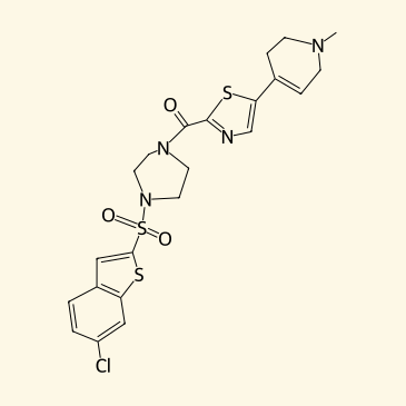 CN1CC=C(c2cnc(C(=O)N3CCN(S(=O)(=O)c4cc5ccc(Cl)cc5s4)CC3)s2)CC1